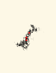 CN1CCOC(=O)c2cc(S(=O)(=O)NC(=O)c3ccc(N4CCN(CC5=C(c6ccc(Cl)cc6)CC(C)(C)CC5)CC4)cc3)cc([N+](=O)[O-])c2N[C@@H](CSc2ccccc2)CC1